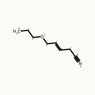 CCCOC/C=C/CC#N